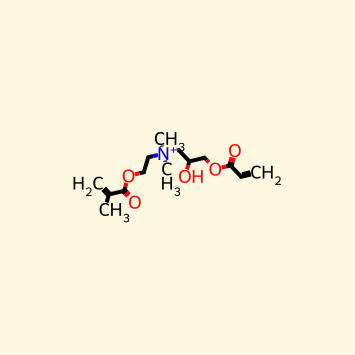 C=CC(=O)OCC(O)C[N+](C)(C)CCOC(=O)C(=C)C